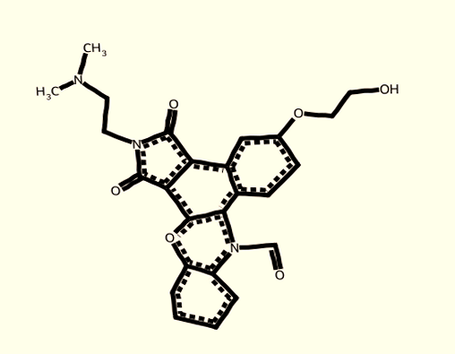 CN(C)CCn1c(=O)c2c3cc(OCCO)ccc3c3c(oc4ccccc4n3C=O)c2c1=O